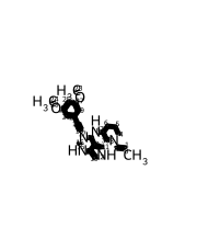 CC=CN1CCCC(N[C@@H]2c3c[nH]cc3NCN2C#Cc2cc(OC)cc(OC)c2)C1